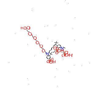 CCN(CCCS(=O)(=O)O)c1ccc2c(c1)OC(/C=C/C=C1/N(CCOCCOCCOCCOCCOCCC(=O)O)c3ccc(S(=O)(=O)O)cc3C1(C)CCCS(=O)(=O)O)C=C2C(C)(C)C